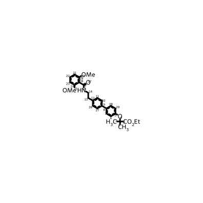 CCOC(=O)C(C)(C)Oc1ccc(-c2ccc(CCNC(=O)c3c(OC)cccc3OC)cc2)cc1